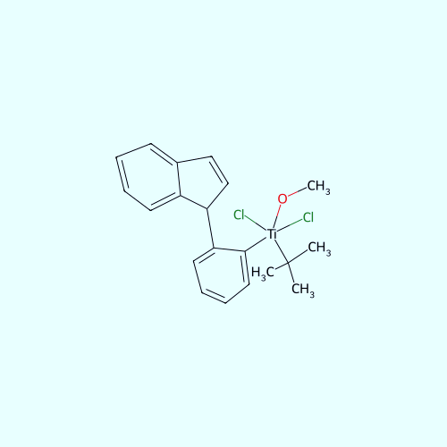 C[O][Ti]([Cl])([Cl])([c]1ccccc1C1C=Cc2ccccc21)[C](C)(C)C